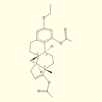 CCOc1cc2c(c(OC(C)=O)c1)[C@H]1CC[C@]3(C)C(OC(C)=O)=CC[C@H]3[C@@H]1CC2